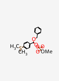 COS(=O)(=O)[O-].C[S+](C)c1ccc(C(=O)OCc2ccccc2)cc1